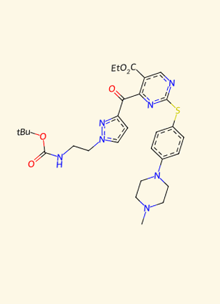 CCOC(=O)c1cnc(Sc2ccc(N3CCN(C)CC3)cc2)nc1C(=O)c1ccn(CCNC(=O)OC(C)(C)C)n1